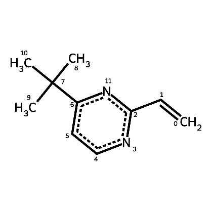 C=Cc1nccc(C(C)(C)C)n1